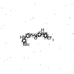 CC(C)(C)c1ccc(NC2CCN(CCCC(=O)N3CCC(Nc4ccc(C(F)(F)F)cn4)CC3)CC2)cc1